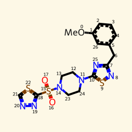 COc1cccc(Cc2nsc(N3CCN(S(=O)(=O)c4nncs4)CC3)n2)c1